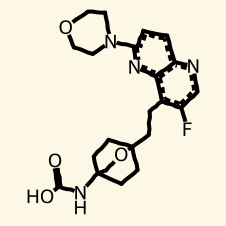 O=C(O)NC12CCC(CCc3c(F)cnc4ccc(N5CCOCC5)nc34)(CC1)OC2